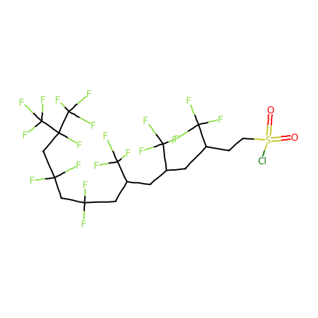 O=S(=O)(Cl)CCC(CC(CC(CC(F)(F)CC(F)(F)CC(F)(C(F)(F)F)C(F)(F)F)C(F)(F)F)C(F)(F)F)C(F)(F)F